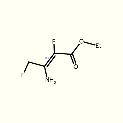 CCOC(=O)/C(F)=C(\N)CF